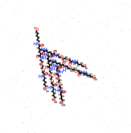 COCCCCCCNC(=O)CC(CCC(=O)NCCOCCOCC(=O)NCCCCCOC)NC(=O)CC(CCC(=O)NCCOCCOCC(=O)NCCCCCOC)NC(=O)CC(CCC(=O)NCCOCCOCC(=O)NCCCCCOC)NC(=O)CC(CCC(=O)NCCOCCOCC(=O)NCCCCCOC)NC(=O)CNC(=O)COCCOCCNC(=O)CCCCOC